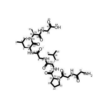 CC(C)C[C@H](NC(=O)CNC(=O)[C@H](CC(C)C)NC(=O)[C@@H]1CCCN1C(=O)CNC(=O)CN)C(=O)N[C@@H](C)C(=O)NCC(=O)O